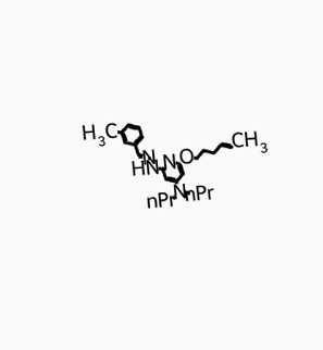 CC=CCCCOc1cc(N(CCC)CCC)cc(N/N=C/c2cccc(C)c2)n1